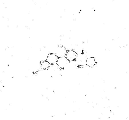 Cc1cc2c(O)c(-c3nnc(N[C@@H]4COC[C@@H]4O)cc3C)ccc2s1